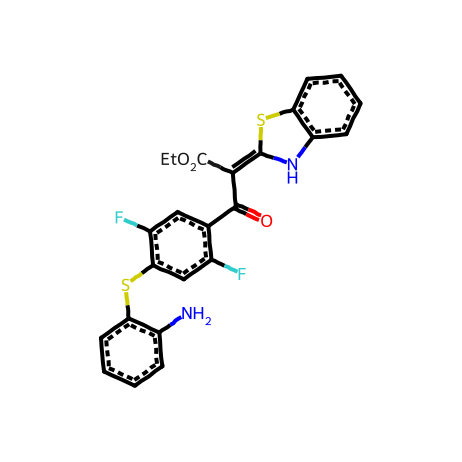 CCOC(=O)/C(C(=O)c1cc(F)c(Sc2ccccc2N)cc1F)=C1/Nc2ccccc2S1